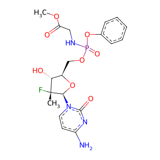 COC(=O)CNP(=O)(OC[C@H]1O[C@@H](n2ccc(N)nc2=O)[C@](C)(F)[C@@H]1O)Oc1ccccc1